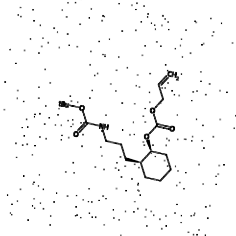 C=CCOC(=O)O[C@H]1CCCC[C@H]1CCCNC(=O)OC(C)(C)C